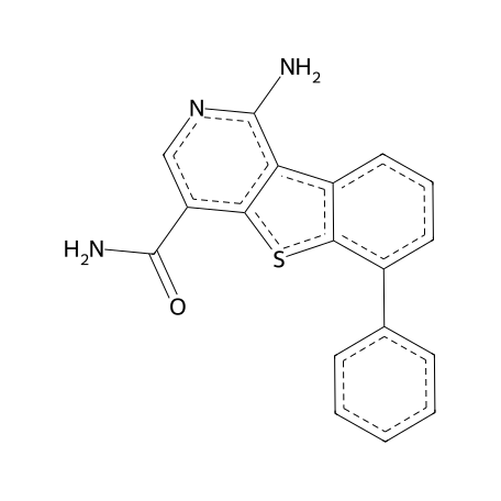 NC(=O)c1cnc(N)c2c1sc1c(-c3ccccc3)cccc12